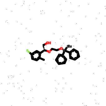 Cc1ccc(F)cc1[C@H](CO)OCCO[Si](c1ccccc1)(c1ccccc1)C(C)(C)C